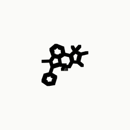 CC1=C(C)C(C)(C)C(c2cccc3c2[C]([Zr])=C(c2ccccc2)C3C)=C1C